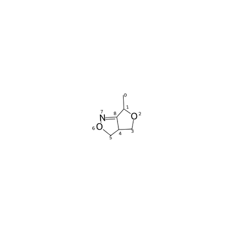 CC1OCC2CON=C21